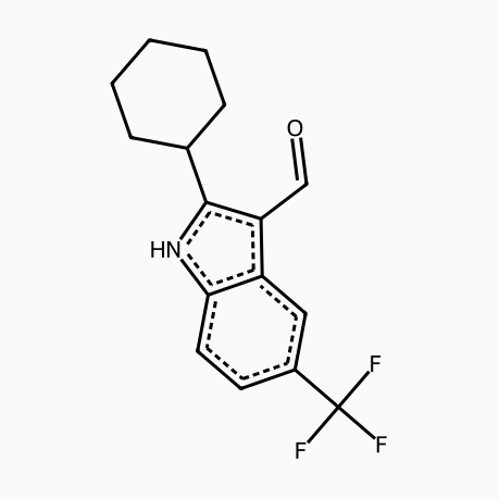 O=Cc1c(C2CCCCC2)[nH]c2ccc(C(F)(F)F)cc12